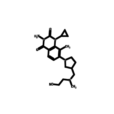 Cc1c(N2CCC(CN(C)CCC#N)C2)ccc2c(=O)n(N)c(=O)n(C3CC3)c12